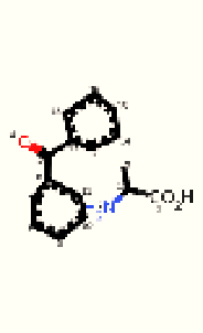 CC(N)C(=O)O.O=C(c1ccccc1)c1ccccc1